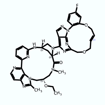 CCO[C@H]1CN(C)C(=O)[C@@H]2C[C@@H](CN2c2nc3nc4c2cnn4-c2ccc(F)cc2OC/C=C/COC3)Nc2cccc(n2)-c2nccc3nc(C)n(c23)C1